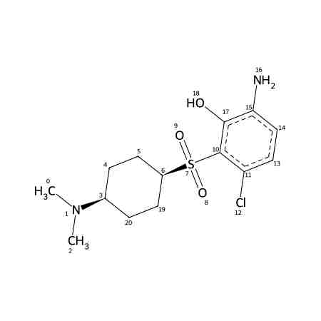 CN(C)[C@H]1CC[C@@H](S(=O)(=O)c2c(Cl)ccc(N)c2O)CC1